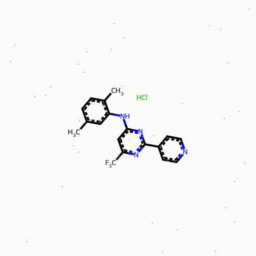 Cc1ccc(C)c(Nc2cc(C(F)(F)F)nc(-c3ccncc3)n2)c1.Cl